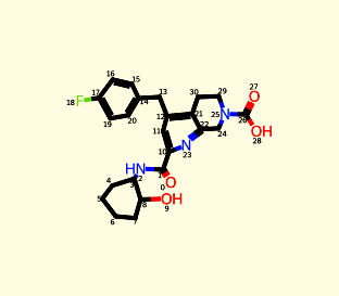 O=C(NC1CCCCC1O)c1cc(Cc2ccc(F)cc2)c2c(n1)CN(C(=O)O)CC2